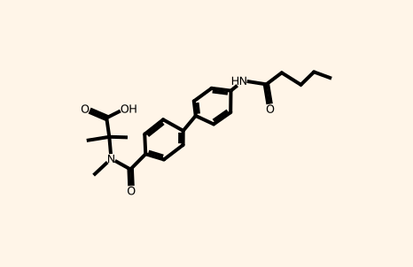 CCCCC(=O)Nc1ccc(-c2ccc(C(=O)N(C)C(C)(C)C(=O)O)cc2)cc1